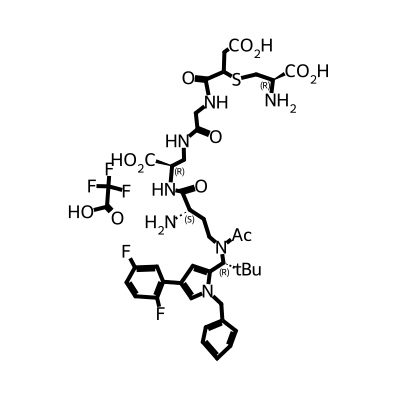 CC(=O)N(CC[C@H](N)C(=O)N[C@H](CNC(=O)CNC(=O)C(CC(=O)O)SC[C@H](N)C(=O)O)C(=O)O)[C@@H](c1cc(-c2cc(F)ccc2F)cn1Cc1ccccc1)C(C)(C)C.O=C(O)C(F)(F)F